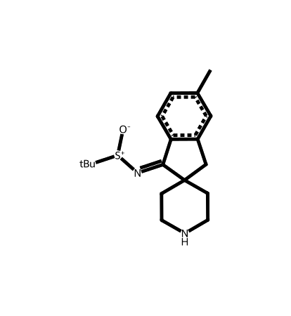 Cc1ccc2c(c1)CC1(CCNCC1)C2=N[S+]([O-])C(C)(C)C